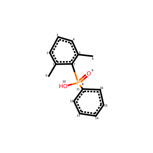 Cc1cccc(C)c1P(=O)(O)c1ccccc1